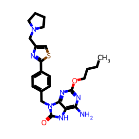 CCCCOc1nc(N)c2[nH]c(=O)n(Cc3ccc(-c4nc(CN5CCCC5)cs4)cc3)c2n1